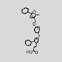 Cc1oc(-c2ccccc2)nc1COc1ccc(Cn2cc(C=CC(=O)O)c(-c3ccccc3)c2)cn1